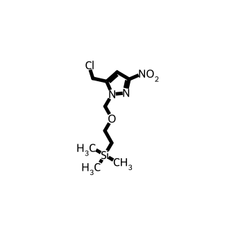 C[Si](C)(C)CCOCn1nc([N+](=O)[O-])cc1CCl